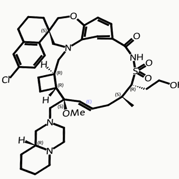 CO[C@]1(CN2CCN3CCCC[C@@H]3C2)/C=C/C[C@H](C)[C@@H](CCO)S(=O)(=O)NC(=O)c2ccc3c(c2)N(C[C@@H]2CC[C@H]21)C[C@@]1(CCCc2cc(Cl)ccc21)CO3